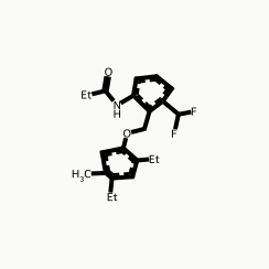 CCC(=O)Nc1cccc(C(F)F)c1COc1cc(C)c(CC)cc1CC